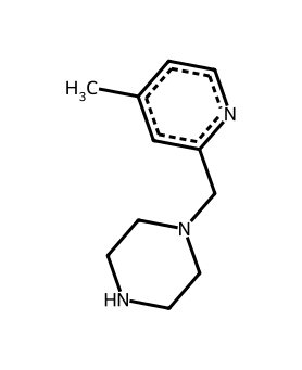 Cc1ccnc(CN2CCNCC2)c1